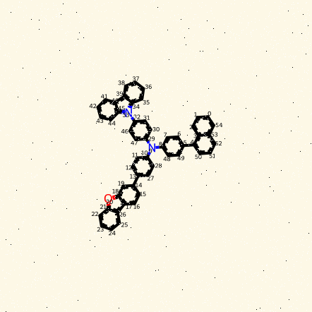 c1ccc2c(-c3ccc(N(c4ccc(-c5ccc6c(c5)oc5ccccc56)cc4)c4ccc(-n5c6ccccc6c6ccccc65)cc4)cc3)cccc2c1